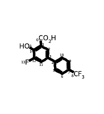 O=C(O)c1cc(-c2ccc(C(F)(F)F)cc2)cc(F)c1O